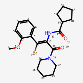 COc1ccccc1/C(Br)=C(\NC(=O)C1CCCC1)C(=O)N1CCCCC1